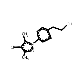 Cc1nn(-c2ccc(CCO)cc2)c(C)c1Cl